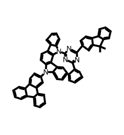 CC1(C)c2ccccc2-c2ccc(-c3nc(-c4ccccc4)nc(-n4c5ccccc5c5ccc6c(c7ccccc7n6-c6ccc7c8ccccc8c8ccccc8c7c6)c54)n3)cc21